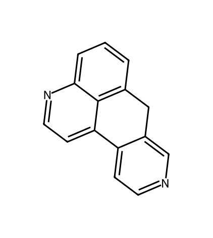 c1cc2c3c(ccnc3c1)-c1ccncc1C2